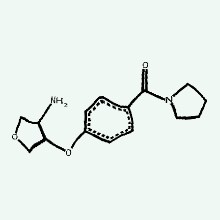 NC1COCC1Oc1ccc(C(=O)N2CCCC2)cc1